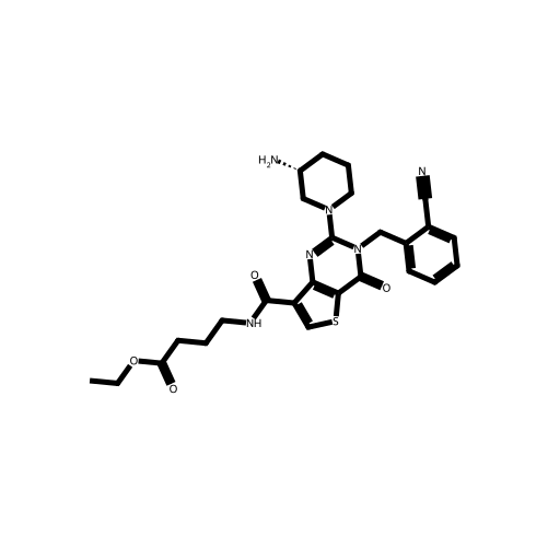 CCOC(=O)CCCNC(=O)c1csc2c(=O)n(Cc3ccccc3C#N)c(N3CCC[C@@H](N)C3)nc12